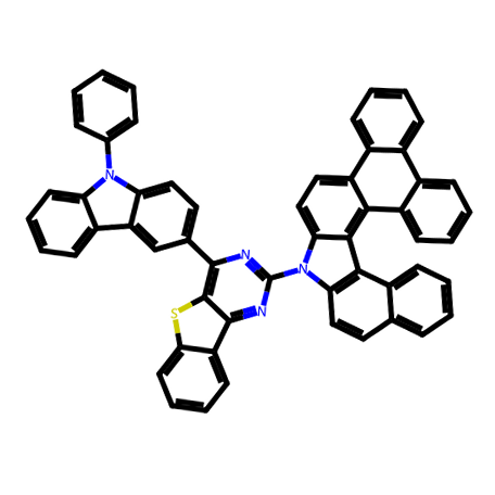 c1ccc(-n2c3ccccc3c3cc(-c4nc(-n5c6ccc7ccccc7c6c6c7c8ccccc8c8ccccc8c7ccc65)nc5c4sc4ccccc45)ccc32)cc1